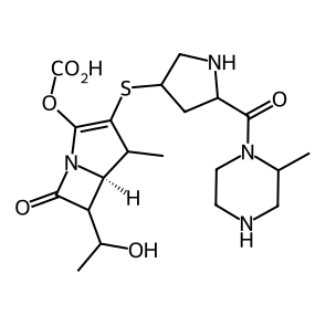 CC(O)C1C(=O)N2C(OC(=O)O)=C(SC3CNC(C(=O)N4CCNCC4C)C3)C(C)[C@@H]12